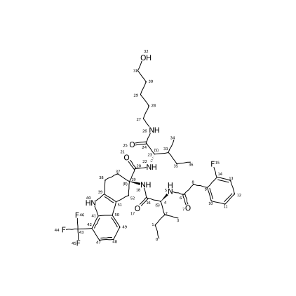 CCC(C)[C@H](NC(=O)Cc1ccccc1F)C(=O)N[C@]1(C(=O)N[C@H](C(=O)NCCCCCO)C(C)CC)CCc2[nH]c3c(C(F)(F)F)cccc3c2C1